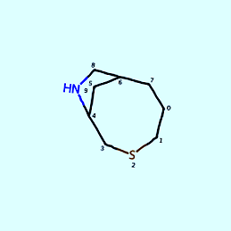 C1CSCC2CC(C1)CN2